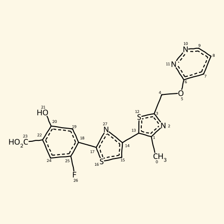 Cc1nc(COc2cccnn2)sc1-c1csc(-c2cc(O)c(C(=O)O)cc2F)n1